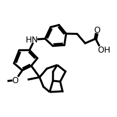 COc1ccc(Nc2ccc(CCC(=O)O)cc2)cc1C1(C)CC2CC3CC(C1)C3C2